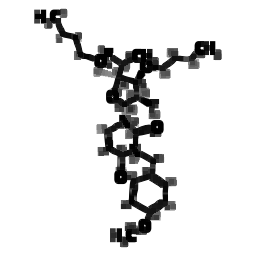 CCCCOC[C@@]1(C(C)F)O[C@@H](n2ccc(=O)n(Cc3ccc(OC)cc3)c2=O)[C@H](F)[C@@H]1OCCCC